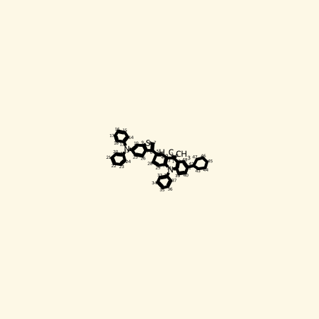 CC1(C)c2cc(-c3csc4cc(N(c5ccccc5)c5ccccc5)ccc34)ccc2N(c2ccccc2)c2ccc(C3CCCCC3)cc21